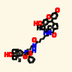 O=C(CCCCCNC(=O)c1cccc(-c2c3ccc(=O)cc-3oc3cc(O)ccc23)c1C(=O)O)NCCCN(c1ccc(C(O)(C(F)(F)F)C(F)(F)F)cc1)S(=O)(=O)c1ccccc1